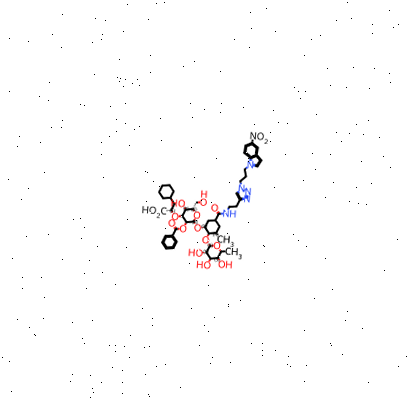 CC1O[C@@H](OC2[C@H](C)CC(C(=O)NCCc3cn(CCCn4ccc5cc([N+](=O)[O-])ccc54)nn3)C[C@H]2O[C@@H]2O[C@@H](CO)[C@H](O)C(O[C@@H](CC3CCCCC3)C(=O)O)C2OC(=O)c2ccccc2)[C@@H](O)C(O)[C@@H]1O